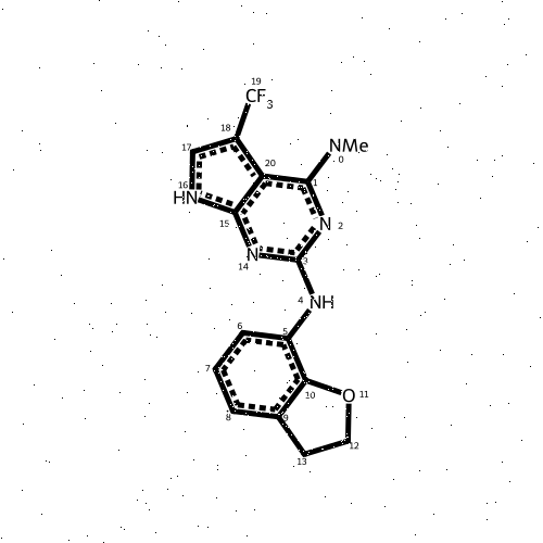 CNc1nc(Nc2cc[c]c3c2OCC3)nc2[nH]cc(C(F)(F)F)c12